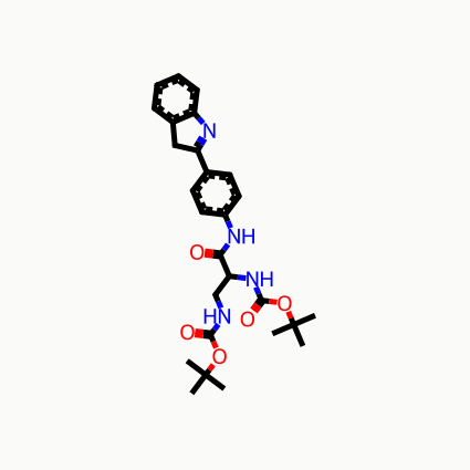 CC(C)(C)OC(=O)NCC(NC(=O)OC(C)(C)C)C(=O)Nc1ccc(C2=Nc3ccccc3C2)cc1